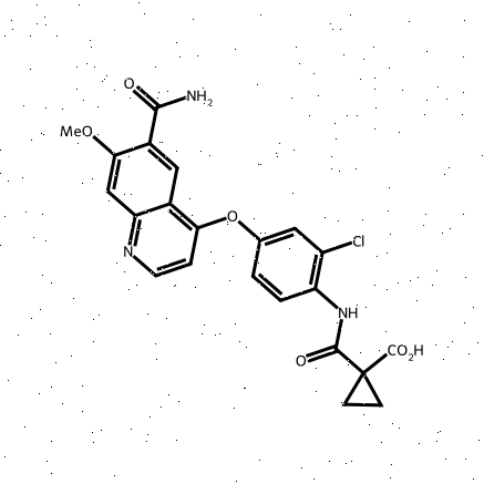 COc1cc2nccc(Oc3ccc(NC(=O)C4(C(=O)O)CC4)c(Cl)c3)c2cc1C(N)=O